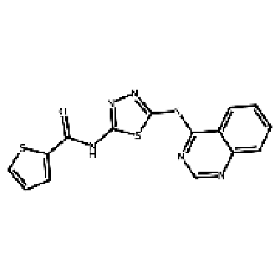 O=C(Nc1nnc(Sc2ncnc3ccccc23)s1)c1cccs1